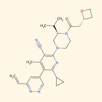 C=Cc1cc(-c2c(C3CC3)nc(N3CCN(C(=O)C[C@H]4CCO4)[C@H](C(C)C)C3)c(C#N)c2C)cnn1